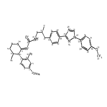 COc1ccc(N2/C(=N/C(=O)NCC(C)Cc3ccc(-c4ncn(-c5ccc(OC(F)(F)F)cc5)n4)cc3)SCCC2C)c(C(C)C)c1